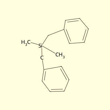 C[Si](C)(Cc1ccccc1)Cc1ccccc1